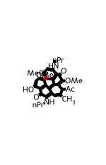 CCCNc1c2c3c4c(c(OC)c(=O)c5c(NCCC)cc(OC)c(c6c(OC)cc(O)c(c1=O)c63)c54)C(C(C)=O)C(C)=C2